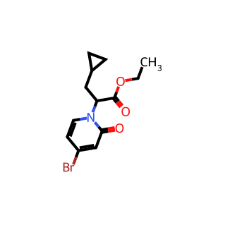 CCOC(=O)C(CC1CC1)n1ccc(Br)cc1=O